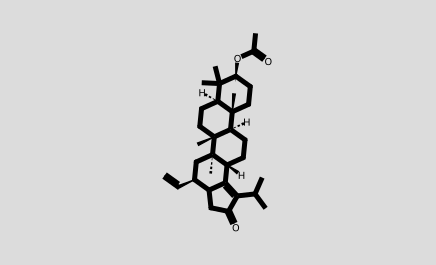 C=C[C@H]1C[C@]2(C)[C@H](CC[C@@H]3[C@@]4(C)CC[C@H](OC(C)=O)C(C)(C)[C@@H]4CC[C@]32C)C2=C(C(C)C)C(=O)CC21